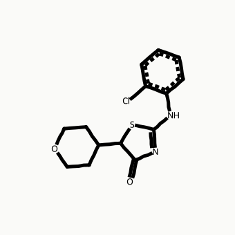 O=C1N=C(Nc2ccccc2Cl)SC1C1CCOCC1